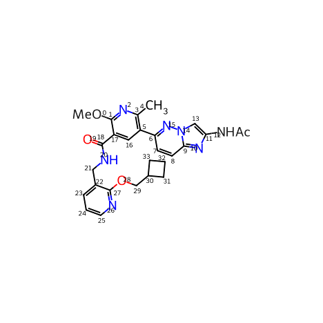 COc1nc(C)c(-c2ccc3nc(NC(C)=O)cn3n2)cc1C(=O)NCc1cccnc1OCC1CCC1